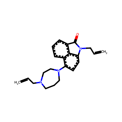 C=CCN1CCCN(c2ccc3c4c(cccc24)C(=O)N3CC=C)CC1